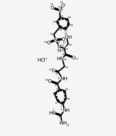 Cl.N=C(N)Nc1ccc(C(=O)NC(=O)CNC(=O)[C@H](CO)NS(=O)(=O)Cc2cccc([N+](=O)[O-])c2)cc1